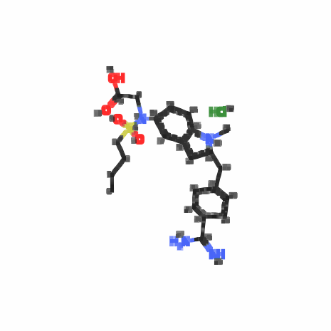 CCCCS(=O)(=O)N(CC(=O)O)c1ccc2c(c1)cc(Cc1ccc(C(=N)N)cc1)n2C.Cl